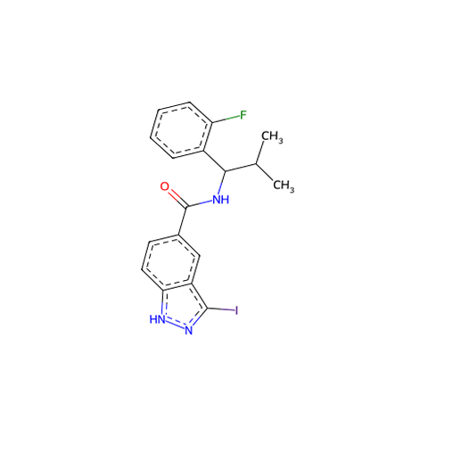 CC(C)C(NC(=O)c1ccc2[nH]nc(I)c2c1)c1ccccc1F